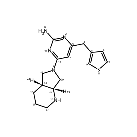 Nc1nc(Cc2ccsc2)cc(N2C[C@H]3CCCN[C@H]3C2)n1